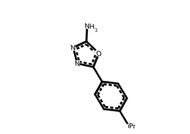 CC(C)c1ccc(-c2nnc(N)o2)cc1